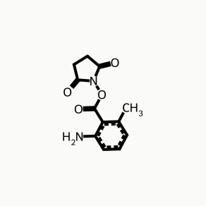 Cc1cccc(N)c1C(=O)ON1C(=O)CCC1=O